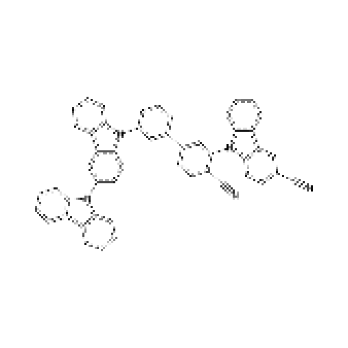 N#Cc1ccc2c(c1)c1ccccc1n2-c1cc(-c2cccc(-n3c4ccccc4c4cc(-n5c6ccccc6c6ccccc65)ccc43)c2)ccc1C#N